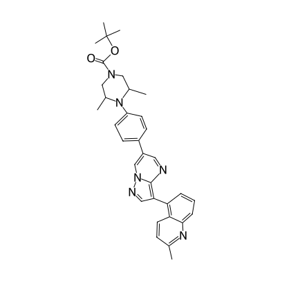 Cc1ccc2c(-c3cnn4cc(-c5ccc(N6C(C)CN(C(=O)OC(C)(C)C)CC6C)cc5)cnc34)cccc2n1